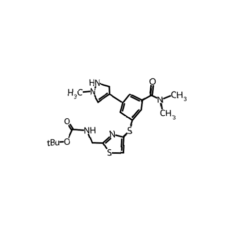 CN1C=C(c2cc(Sc3csc(CNC(=O)OC(C)(C)C)n3)cc(C(=O)N(C)C)c2)CN1